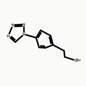 CC(C)(C)CCc1ccc(-n2cnnn2)cc1